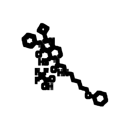 O=C(CNCCCCCOC1CCCCC1)N1CCc2nc(C3CCC3)n(-c3ccccc3)c(=O)c2C1S.O=C(O)C(F)(F)F